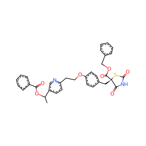 CC(OC(=O)c1ccccc1)c1ccc(CCOc2ccc(C[C@@]3(C(=O)OCc4ccccc4)SC(=O)NC3=O)cc2)nc1